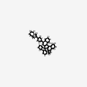 c1ccc2c(c1)-c1ccccc1C21c2cc(-c3ccc(-c4cn5ccccc5n4)cc3)c3ccccc3c2-c2c1c1ccccc1c1ccccc21